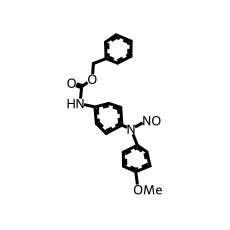 COc1ccc(N(N=O)c2ccc(NC(=O)OCc3ccccc3)cc2)cc1